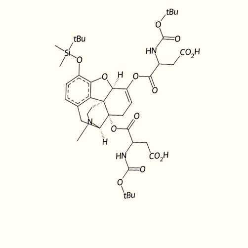 CN1CC[C@]23c4c5ccc(O[Si](C)(C)C(C)(C)C)c4O[C@H]2C(OC(=O)C(CC(=O)O)NC(=O)OC(C)(C)C)=CC[C@@]3(OC(=O)C(CC(=O)O)NC(=O)OC(C)(C)C)[C@H]1C5